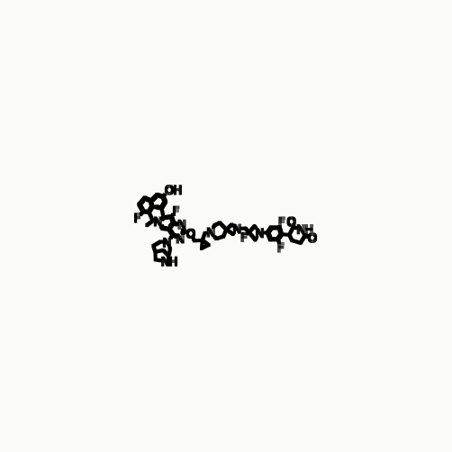 CCc1c(F)ccc2cc(O)cc(-c3ncc4c(N5CCC6CNC(C6)C5)nc(OCC5(CN6CCC7(CC6)CN(CC6(F)CN(c8cc(F)c(C9CCC(=O)NC9=O)c(F)c8)C6)C7)CC5)nc4c3F)c12